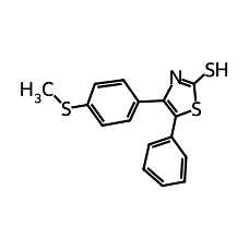 CSc1ccc(-c2nc(S)sc2-c2ccccc2)cc1